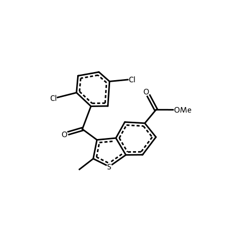 COC(=O)c1ccc2sc(C)c(C(=O)c3cc(Cl)ccc3Cl)c2c1